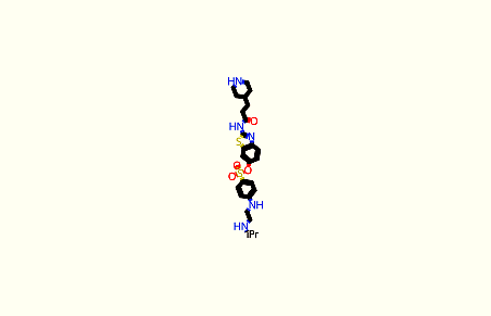 CC(C)NCCNc1ccc(S(=O)(=O)Oc2ccc3nc(NC(=O)CCC4CCNCC4)sc3c2)cc1